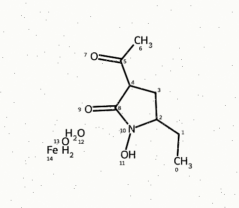 CCC1CC(C(C)=O)C(=O)N1O.O.O.[Fe]